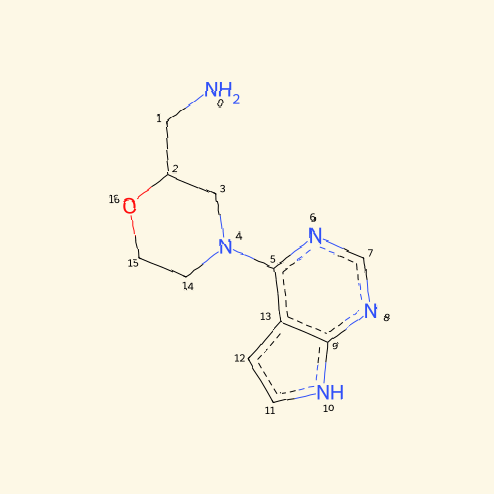 NCC1CN(c2ncnc3[nH]ccc23)CCO1